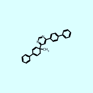 CC1(c2cc(-c3ccc(-c4ccccc4)cc3)ncn2)C=CC(c2ccccc2)=CC1